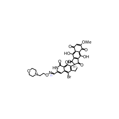 COC1=CC(=O)c2c(O)c3c(c(O)c2C1=O)C(=O)[C@]1(CCc2c1c(O)c1c(=O)[nH]c(/C=N/OCCN4CCOCC4)cc1c2Br)C3=O